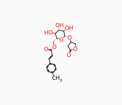 Cc1ccc(/C=C/C(=O)OC[C@H]2O[C@@H](O[C@H]3COC(=O)C3)[C@H](O)[C@@H](O)[C@@H]2O)cc1